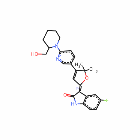 CC1(C)O/C(=C2/C(=O)Nc3ccc(F)cc32)C=C1c1ccc(N2CCCCC2CO)nc1